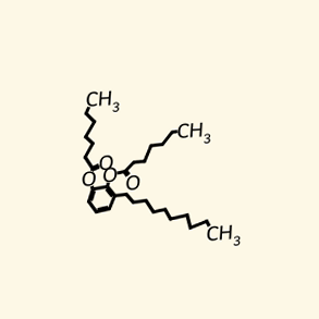 CCCCCCCCCCc1cccc(OC(=O)CCCCCC)c1OC(=O)CCCCCC